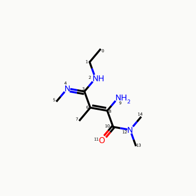 CCNC(=N/C)/C(C)=C(\N)C(=O)N(C)C